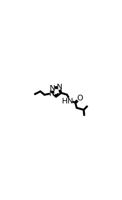 CCCn1cc(CNC(=O)CC(C)C)nn1